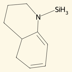 [SiH3]N1CCCC2CC=CC=C21